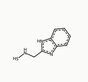 SNCc1nc2ccccc2[nH]1